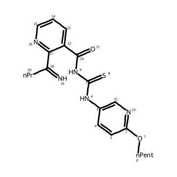 CCCCCOc1ccc(NC(=S)NC(=O)c2cccnc2C(=N)CCC)cn1